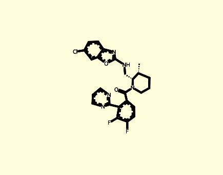 C[C@@H]1CCCN(C(=O)c2ccc(F)c(F)c2-c2ncccn2)[C@@H]1CNc1nc2ccc(Cl)cc2o1